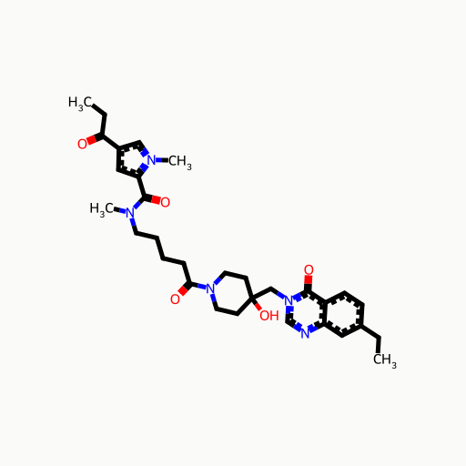 CCC(=O)c1cc(C(=O)N(C)CCCCC(=O)N2CCC(O)(Cn3cnc4cc(CC)ccc4c3=O)CC2)n(C)c1